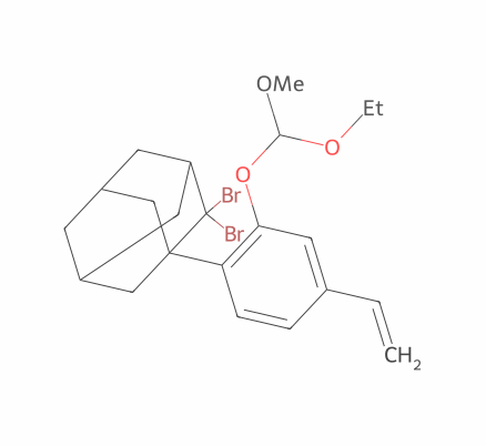 C=Cc1ccc(C23CC4CC(CC(C4)C2(Br)Br)C3)c(OC(OC)OCC)c1